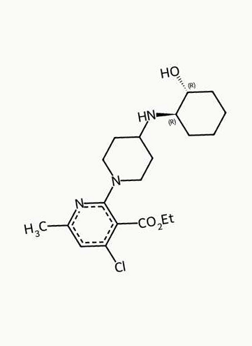 CCOC(=O)c1c(Cl)cc(C)nc1N1CCC(N[C@@H]2CCCC[C@H]2O)CC1